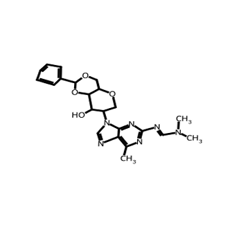 Cc1nc(/N=C/N(C)C)nc2c1ncn2C1COC2COC(c3ccccc3)OC2C1O